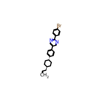 C=CC[C@H]1CC[C@H](c2ccc(-c3cnc(-c4ccc(Br)cc4)nc3)cc2)CC1